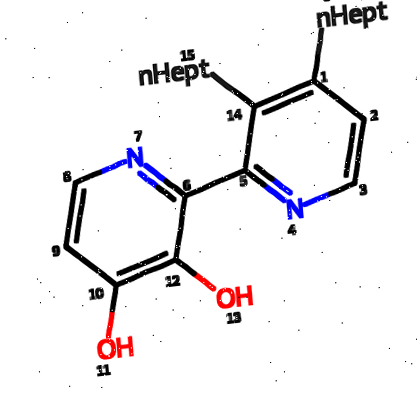 CCCCCCCc1ccnc(-c2nccc(O)c2O)c1CCCCCCC